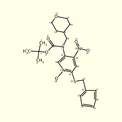 CC(C)(C)OC(=O)N(CC1CCOCC1)c1c[n+]([O-])c(SCc2ccccc2)cc1[N+](=O)[O-]